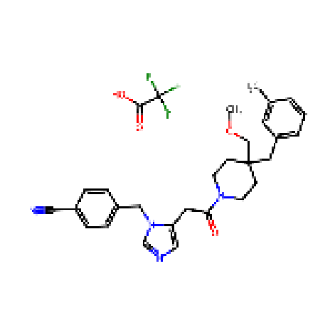 COCC1(Cc2cccc(C)c2)CCN(C(=O)Cc2cncn2Cc2ccc(C#N)cc2)CC1.O=C(O)C(F)(F)F